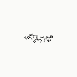 CCc1nc(-c2ccc3c(c2)CCC3NC(=O)c2ccnc(C)c2)no1